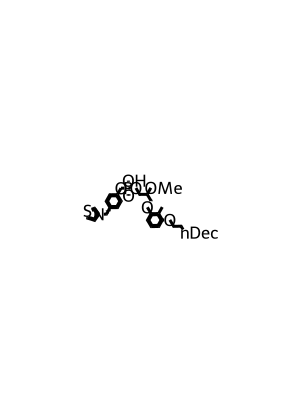 CCCCCCCCCCCCOc1cccc(OCC(COP(=O)(O)Oc2ccc(C[n+]3ccsc3)cc2)OC)c1C